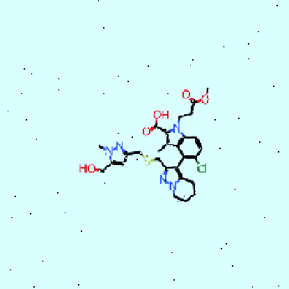 COC(=O)CCn1c(C(=O)O)c(C)c2c(-c3c(CSCc4cc(CO)n(C)n4)nn4c3CCCC4)c(Cl)ccc21